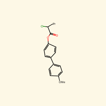 COc1ccc(-c2ccc(OC(=O)C(Cl)C(C)C)cc2)cc1